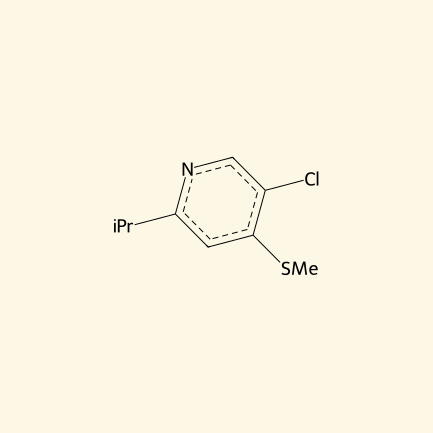 CSc1cc(C(C)C)ncc1Cl